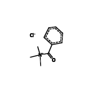 C[N+](C)(C)C(=O)c1ccccc1.[Cl-]